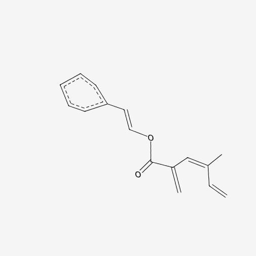 C=CC(C)=CC(=C)C(=O)OC=Cc1ccccc1